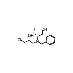 CC[C@H](CO)N(Cc1ccccc1)C[C@@H](O)CCl